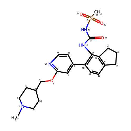 CN1CCC(COc2cc(-c3ccc4c(c3NC(=O)NS(C)(=O)=O)CCC4)ccn2)CC1